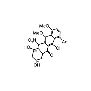 COc1ccc(C(C)=O)c2c(O)c3c(c(OC)c12)C([N+](=O)[O-])C1C(C[C@H](O)C[C@H]1O)C3=O